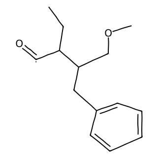 CCC([C]=O)C(COC)Cc1ccccc1